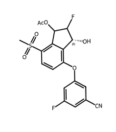 CC(=O)OC1c2c(S(C)(=O)=O)ccc(Oc3cc(F)cc(C#N)c3)c2[C@@H](O)C1F